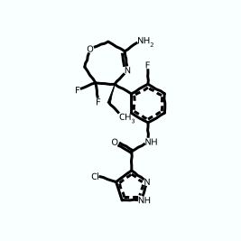 CC[C@]1(c2cc(NC(=O)c3n[nH]cc3Cl)ccc2F)N=C(N)COCC1(F)F